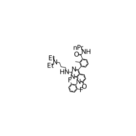 CCCNC(=O)c1cccc(-c2nc(NCCCN(CC)CC)nc3c2ccc(=O)n3-c2c(F)cccc2F)c1C